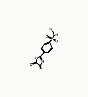 C=C1N=C(c2ccc(S(=O)(=O)NC(C)C)cc2)OC1=O